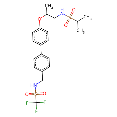 CC(CNS(=O)(=O)C(C)C)Oc1ccc(-c2ccc(CNS(=O)(=O)C(F)(F)F)cc2)cc1